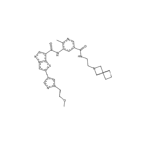 COCCn1cc(-c2cn3ncc(C(=O)Nc4cc(C(=O)NCCN5CC6(CCC6)C5)cnc4C)c3s2)cn1